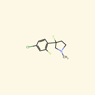 CN1CCC(F)(c2ccc(Cl)cc2F)C1